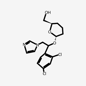 OC[C@H]1CCC[C@H](OC(Cn2ccnc2)c2ccc(Cl)cc2Cl)O1